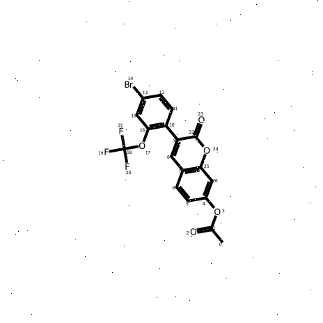 CC(=O)Oc1ccc2cc(-c3ccc(Br)cc3OC(F)(F)F)c(=O)oc2c1